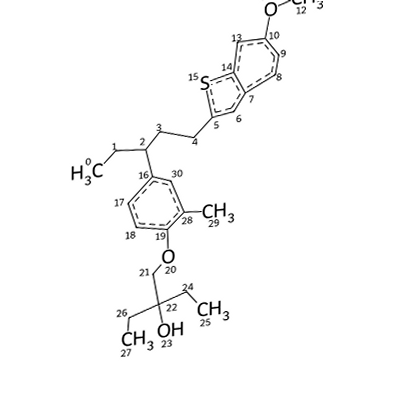 CCC(CCc1cc2ccc(OC)cc2s1)c1ccc(OCC(O)(CC)CC)c(C)c1